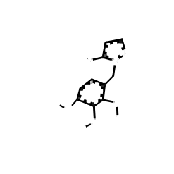 COc1ccc(Cn2nccc2N)c(OC)c1OC